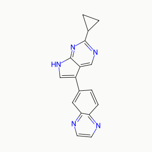 c1cnc2cc(-c3c[nH]c4nc(C5CC5)ncc34)ccc2n1